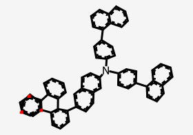 c1ccc(-c2ccccc2-c2c(-c3ccccc3)cccc2-c2ccc3cc(N(c4ccc(-c5cccc6ccccc56)cc4)c4ccc(-c5cccc6ccccc56)cc4)ccc3c2)cc1